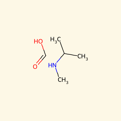 CNC(C)C.O=CO